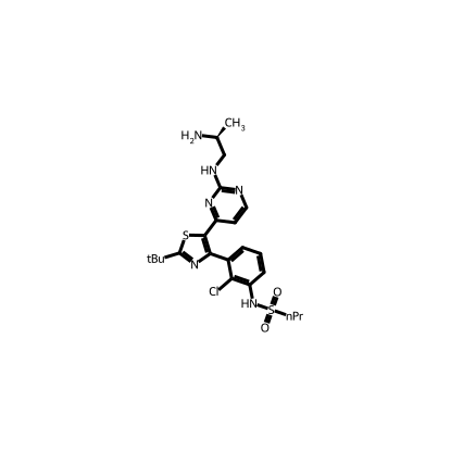 CCCS(=O)(=O)Nc1cccc(-c2nc(C(C)(C)C)sc2-c2ccnc(NC[C@H](C)N)n2)c1Cl